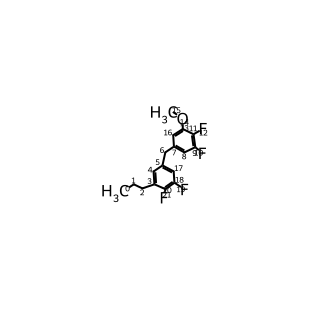 CCCc1cc(Cc2cc(F)c(F)c(OC)c2)cc(F)c1F